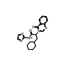 O=C(Nc1nccs1)C(CC1CCCCC1)n1cnc2ccccc2c1=O